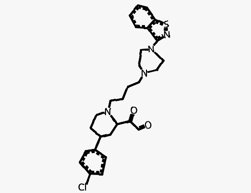 O=CC(=O)C1CC(c2ccc(Cl)cc2)CCN1CCCCN1CCN(c2nsc3ccccc23)CC1